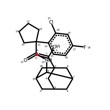 O=C(O)C12CC3CC(C1)C(NC(=O)C1(c4ccc(F)cc4Cl)CCCC1)C(C3)C2